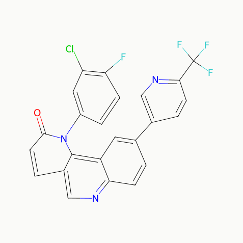 O=c1ccc2cnc3ccc(-c4ccc(C(F)(F)F)nc4)cc3c2n1-c1ccc(F)c(Cl)c1